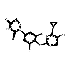 O=c1cnn(-c2cc(Cl)c(Oc3ncc(O)c(C4CC4)n3)c(Cl)c2)c(=O)[nH]1